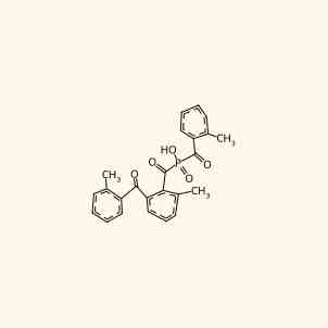 Cc1ccccc1C(=O)c1cccc(C)c1C(=O)P(=O)(O)C(=O)c1ccccc1C